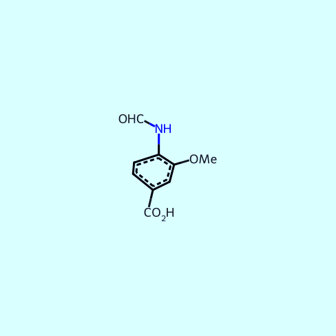 COc1cc(C(=O)O)ccc1NC=O